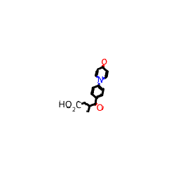 CC(CC(=O)O)C(=O)c1ccc(-n2ccc(=O)cc2)cc1